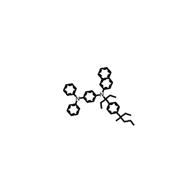 CCCC(C)(CC)c1ccc(C(CC)(CC)N(c2ccc(N(c3ccccc3)c3ccccc3)cc2)c2ccc3ccccc3c2)cc1